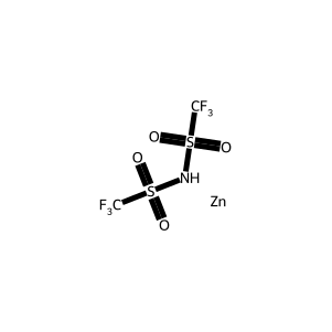 O=S(=O)(NS(=O)(=O)C(F)(F)F)C(F)(F)F.[Zn]